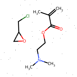 C=C(C)C(=O)OCCN(C)C.ClCC1CO1